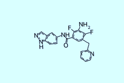 Nc1c(F)c(Cc2ccccn2)cc(C(=O)Nc2ccc3[nH]ncc3c2)c1F